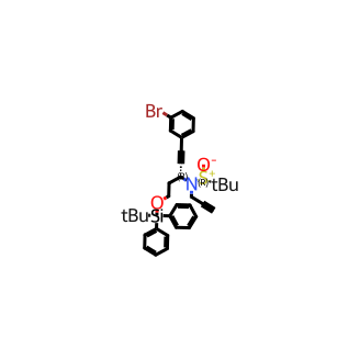 C#CCN([C@@H](C#Cc1cccc(Br)c1)CCO[Si](c1ccccc1)(c1ccccc1)C(C)(C)C)[S@@+]([O-])C(C)(C)C